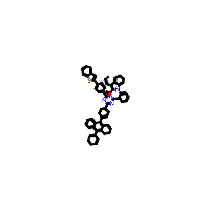 C=Cc1c(/C=C\C)c2ccccc2n1-c1ccccc1-c1nc(-c2ccc(-c3cc4ccccc4s3)cc2)nc(-c2ccc(-c3c4ccccc4c(-c4ccccc4)c4ccccc34)cc2)n1